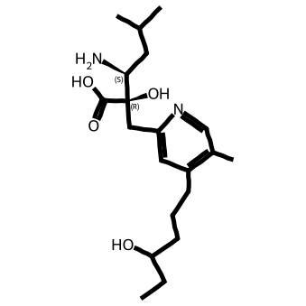 CCC(O)CCCc1cc(C[C@](O)(C(=O)O)[C@@H](N)CC(C)C)ncc1C